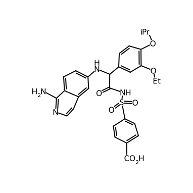 CCOc1cc(C(Nc2ccc3c(N)nccc3c2)C(=O)NS(=O)(=O)c2ccc(C(=O)O)cc2)ccc1OC(C)C